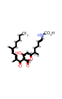 CC(=CC=C(C)C(=O)c1c(O)cc(C(C)CCC=CNC(=O)O)oc1=O)CCCCC(F)(F)F